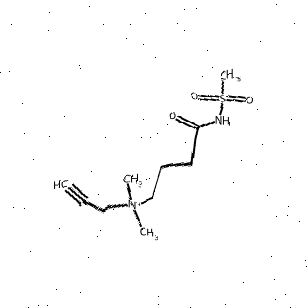 C#CC[N+](C)(C)CCCC(=O)NS(C)(=O)=O